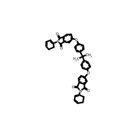 CC(C)(c1ccc(Oc2ccc3c(c2)C(=O)N(C2=CC=CCC2)C3=O)cc1)c1ccc(Oc2ccc3c(c2)C(=O)N(C2=CC=CCC2)C3=O)cc1